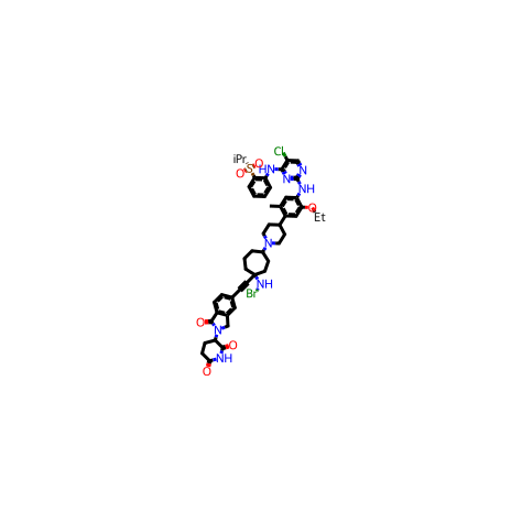 CCOc1cc(C2CCN(C3CCCC(C#Cc4ccc5c(c4)CN(C4CCC(=O)NC4=O)C5=O)(NBr)CC3)CC2)c(C)cc1Nc1ncc(Cl)c(Nc2ccccc2S(=O)(=O)C(C)C)n1